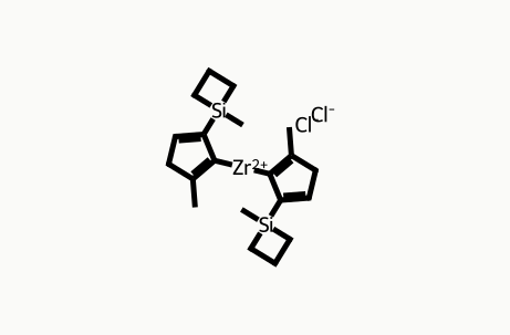 CC1=[C]([Zr+2][C]2=C(C)CC=C2[Si]2(C)CCC2)C([Si]2(C)CCC2)=CC1.[Cl-].[Cl-]